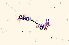 COc1cccc(C(=O)NC2CCN(CCCCCCCC(=O)Nc3cccc4c3CN(C3CCONO3)C4=O)CC2)c1